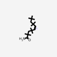 CC(C)(C)CC(C)(C)/C=C\C(C)(C)CC(C)(C)C(N)=O